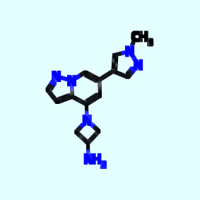 Cn1cc(-c2cc(N3CC(N)C3)c3ccnn3c2)cn1